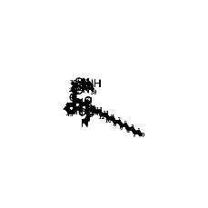 CCCCCCCCCCCCCCCCN(CCC#N)C(=O)c1cc(OCCC(C)S(=O)(=O)c2n[nH]c(C)n2)c2ccccc2c1O